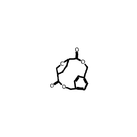 O=C1OCc2ccc(cc2)COC(=O)C2CCC1CC2